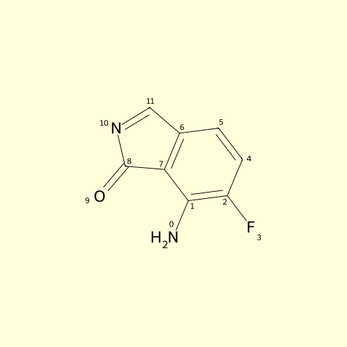 Nc1c(F)ccc2c1C(=O)N=C2